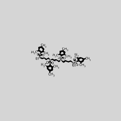 CCN(CCCCN(C/C=C/CN(CCCCN(CC)S(=O)(=O)c1c(C)cc(C)cc1C)S(=O)(=O)c1c(C)cc(C)cc1C)S(=O)(=O)c1c(C)cc(C)cc1C)S(=O)(=O)c1c(C)cc(C)cc1C